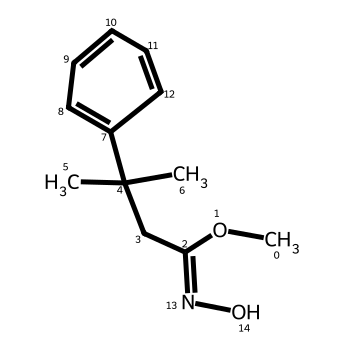 COC(CC(C)(C)c1ccccc1)=NO